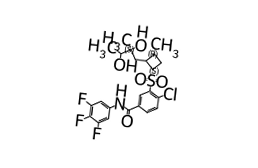 CC(O)[C@@](C)(O)CC1[C@H](C)C[C@@H]1S(=O)(=O)c1cc(C(=O)Nc2cc(F)c(F)c(F)c2)ccc1Cl